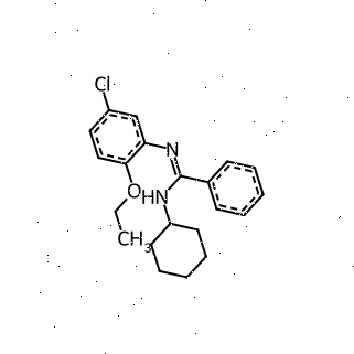 CCOc1ccc(Cl)cc1N=C(NC1CCCCC1)c1ccccc1